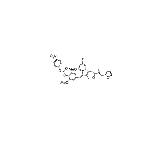 COc1cc(/C=C2/C(C)=C(CC(=O)NCc3ccco3)c3cc(F)ccc32)cc(OC)c1OC(=O)Oc1ccc([N+](=O)[O-])cc1